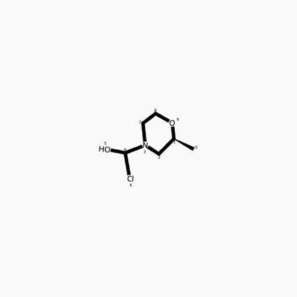 C[C@H]1CN(C(O)Cl)CCO1